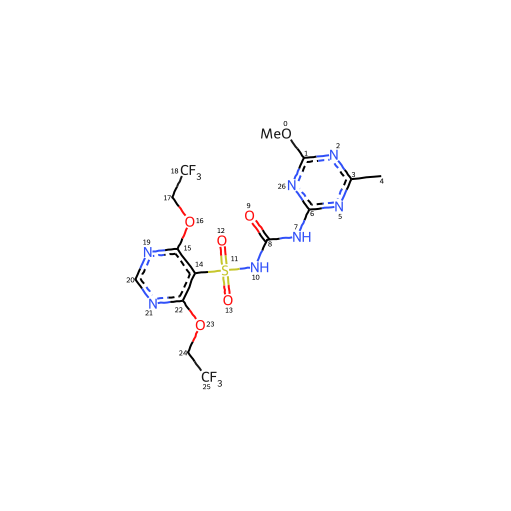 COc1nc(C)nc(NC(=O)NS(=O)(=O)c2c(OCC(F)(F)F)ncnc2OCC(F)(F)F)n1